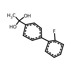 CC(O)(O)c1ccc(-c2ccccc2F)cc1